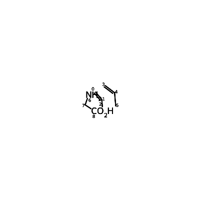 C=CC.C=CC.NCC(=O)O